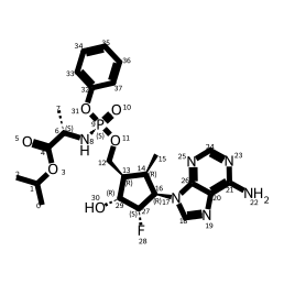 CC(C)OC(=O)[C@H](C)N[P@](=O)(OC[C@H]1[C@@H](C)[C@@H](n2cnc3c(N)ncnc32)[C@H](F)[C@@H]1O)Oc1ccccc1